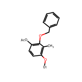 CCOc1ccc(OC(C)=O)c(OCc2ccccc2)c1C